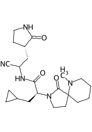 CN1CCCCC12CCN([C@@H](CC1CC1)C(=O)NC(C#N)C[C@@H]1CCNC1=O)C2=O